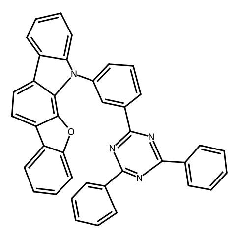 c1ccc(-c2nc(-c3ccccc3)nc(-c3cccc(-n4c5ccccc5c5ccc6c7ccccc7oc6c54)c3)n2)cc1